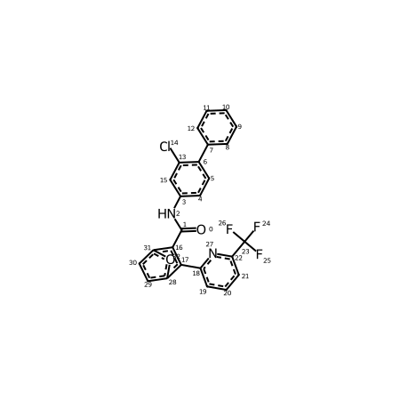 O=C(Nc1ccc(-c2ccccc2)c(Cl)c1)c1c(-c2cccc(C(F)(F)F)n2)c2ccc1o2